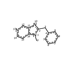 Cn1c(Cc2ccccc2)nc2cnccc21